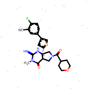 CN1C(=N)N[C@@]2(c3cc(-c4ccc(F)c(C#N)c4)cs3)CN(C(=O)C3CCOCC3)CC2C1=O